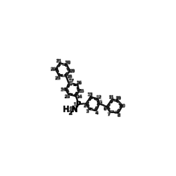 NP(c1ccc(-c2ccccc2)cc1)c1ccc(-c2ccccc2)cc1